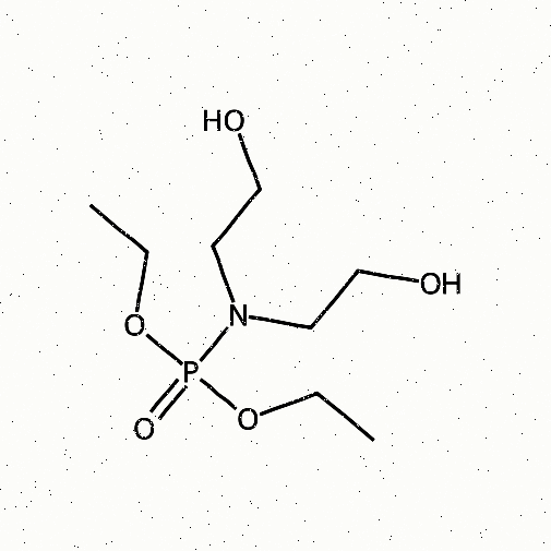 CCOP(=O)(OCC)N(CCO)CCO